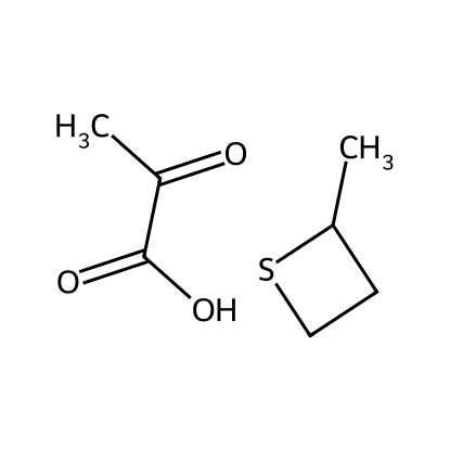 CC(=O)C(=O)O.CC1CCS1